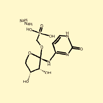 O=c1nc(N[C@]2(OCP(=O)(O)O)OC[C@@H](O)[C@H]2O)cc[nH]1.[NaH].[NaH]